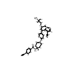 C#Cc1ccc(C(=O)NC2(C)CCN(c3ccc(-c4cc(OCC(C)(C)O)cn5ncc(C#N)c45)cn3)CC2)cc1